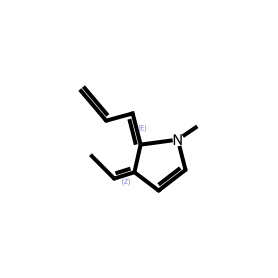 C=C/C=c1\c(=C/C)ccn1C